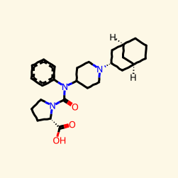 O=C(O)[C@@H]1CCCN1C(=O)N(c1ccccc1)C1CCN([C@H]2C[C@@H]3CCC[C@@H](C3)C2)CC1